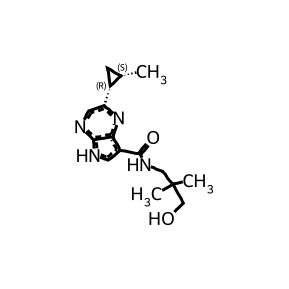 C[C@H]1C[C@H]1c1cnc2[nH]cc(C(=O)NCC(C)(C)CO)c2n1